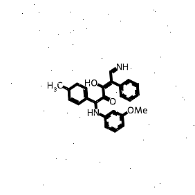 COc1cccc(NC(C(=O)/C(O)=C(/C=N)c2ccccc2)C2=CCC(C)C=C2)c1